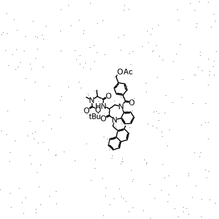 CC(=O)OCc1ccc(C(=O)N2CC(NC(=O)C(C)N(C)C(=O)OC(C)(C)C)C(=O)N(Cc3c(C)ccc4ccccc34)c3ccccc32)cc1